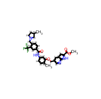 COC(=O)c1cc2cc(COc3cc(NC(=O)c4ccc(CN5CCC(C)C5)c(C(F)(F)F)c4)ccc3C)cnc2[nH]1